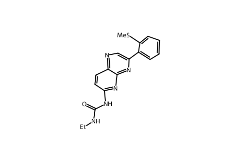 CCNC(=O)Nc1ccc2ncc(-c3ccccc3SC)nc2n1